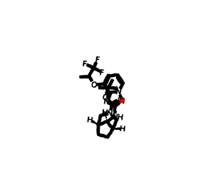 CC(Oc1cccn2nc(N[C@@H]3[C@@H]4CC[C@H]3CN(C(=O)OC(C)(C)C)C4)nc12)C(F)(F)F